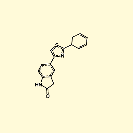 O=C1Cc2cc(-c3csc(C4C=CC=CC4)n3)ccc2N1